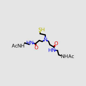 CC(=O)NCCNC(=O)CCN(CCS)CCC(=O)NCCNC(C)=O